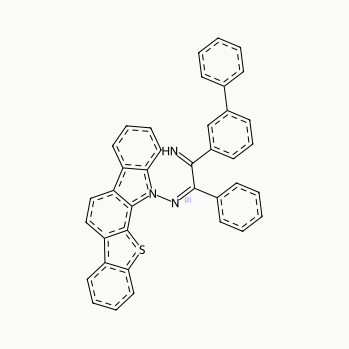 N=C(/C(=N\n1c2ccccc2c2ccc3c4ccccc4sc3c21)c1ccccc1)c1cccc(-c2ccccc2)c1